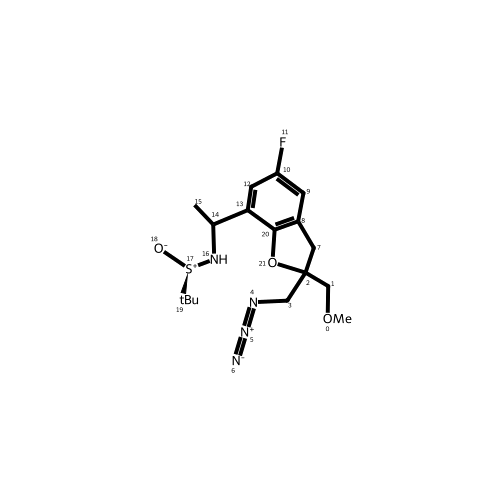 COCC1(CN=[N+]=[N-])Cc2cc(F)cc(C(C)N[S@+]([O-])C(C)(C)C)c2O1